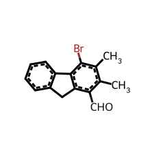 Cc1c(C)c(C=O)c2c(c1Br)-c1ccccc1C2